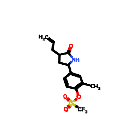 C=CCC1CC(c2ccc(OS(=O)(=O)C(F)(F)F)c(C)c2)NC1=O